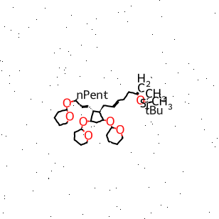 C=C(CCC=CC[C@@H]1[C@@H](C=CC(CCCCC)OC2CCCCO2)[C@H](OC2CCCCO2)C[C@@H]1OC1CCCCO1)O[Si](C)(C)C(C)(C)C